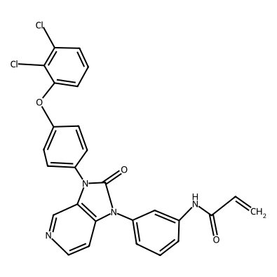 C=CC(=O)Nc1cccc(-n2c(=O)n(-c3ccc(Oc4cccc(Cl)c4Cl)cc3)c3cnccc32)c1